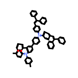 Cc1ccc(N(c2ccc(C)cc2)c2ccc(-c3ccc(N(c4ccc(C=C(c5ccccc5)c5ccccc5)cc4)c4ccc(C=C(c5ccccc5)c5ccccc5)cc4)cc3)cc2-c2ccccc2)cc1